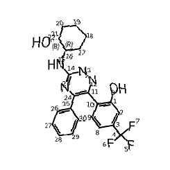 Oc1cc(C(F)(F)F)ccc1-c1nnc(N[C@@H]2CCCC[C@H]2O)nc1-c1ccccc1